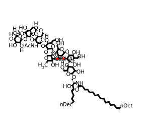 CCCCCCCC/C=C\CCCCCCCCCCCCCC(=O)N[C@@H](CO[C@@H]1OC(CO)[C@@H](O[C@@H]2OC(CO)[C@H](O)[C@H](O[C@@H]3OC(CO)[C@@H](O[C@@H]4OC(CO)[C@H](O)[C@H](O[C@H]5OC(CO)[C@H](O)[C@H](O[C@@H]6OC(CO)[C@H](O)[C@H](O)C6O[C@H]6OC(C)[C@@H](O)C(O)[C@@H]6O)C5NC(C)=O)C4O[C@H]4OC(C)[C@@H](O)C(O)[C@@H]4O)[C@H](O)C3NC(C)=O)C2O)[C@H](O)C1O)[C@H](O)/C=C/CCCCCCCCCCCCC